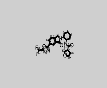 O=C(N[C@@H]1CCCC[C@H]1N1Cc2ccc(-c3nnc(C(F)F)o3)cc2C1=O)[C@H]1CCOC1